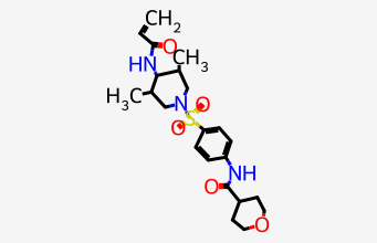 C=CC(=O)NC1C(C)CN(S(=O)(=O)c2ccc(NC(=O)C3CCOCC3)cc2)CC1C